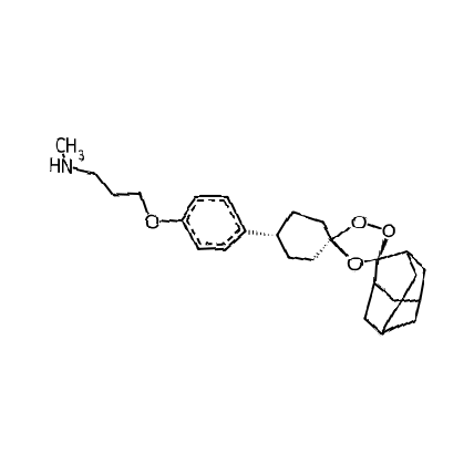 CNCCCOc1ccc([C@H]2CC[C@]3(CC2)OO[C@]2(O3)C3CC4CC(C3)CC2C4)cc1